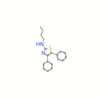 CCCCNc1nc(-c2ccccc2)c(-c2ccccc2)s1